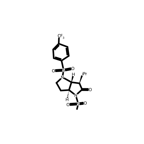 CC(C)[C@H]1C(=O)N(S(C)(=O)=O)[C@H]2CCN(S(=O)(=O)c3ccc(C(F)(F)F)cc3)[C@H]12